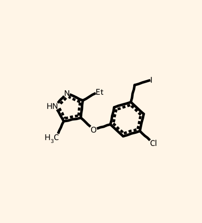 CCc1n[nH]c(C)c1Oc1cc(Cl)cc(CI)c1